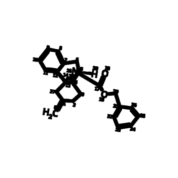 C=C1CCC2[C@H]3Cc4ccccc4[C@@]2(CCN3C(=O)OCc2ccccc2)C1